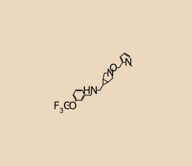 Cn1cccc1CON1CC2C(CNCc3cccc(OC(F)(F)F)c3)C2C1